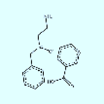 NCC[S+]([O-])Cc1ccccc1.O=C(O)c1cccnc1